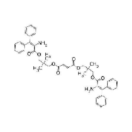 CC(C)(COC(=O)/C=C/C(=O)OCC(C)(C)COC(=O)C(N)=C(c1ccccc1)c1ccccc1)COC(=O)C(N)=C(c1ccccc1)c1ccccc1